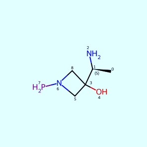 C[C@H](N)C1(O)CN(P)C1